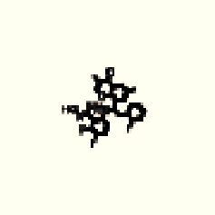 Cc1cc(C(Cc2ccccc2F)Nc2ccc(F)c(F)c2C(N)=NO)c2occ(C)c(=O)c2c1